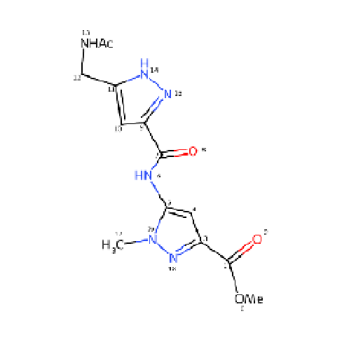 COC(=O)c1cc(NC(=O)c2cc(CNC(C)=O)[nH]n2)n(C)n1